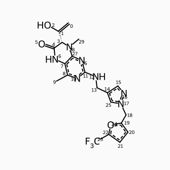 C=C(O)[C@H]1C(=O)Nc2c(C)nc(NCc3cnn(Cc4ccc(C(F)(F)F)o4)c3)nc2N1C